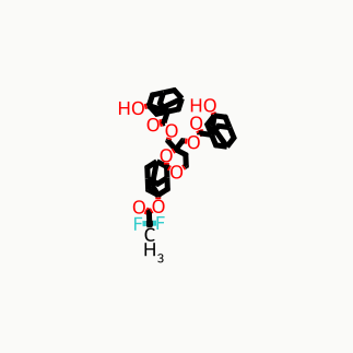 CC(F)(F)C(=O)OC12CC3CC(C1)C1(OCCC(COC(=O)C45CC6CC(CC(O)(C6)C4)C5)(COC(=O)C45CC6CC(CC(O)(C6)C4)C5)O1)C(C3)C2